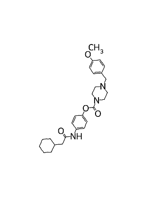 COc1ccc(CN2CCN(C(=O)Oc3ccc(NC(=O)CC4CCCCC4)cc3)CC2)cc1